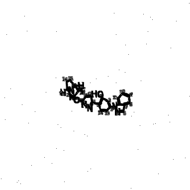 Oc1cc(-n2ncc3ccccc32)ccc1-c1ccc(O[C@H]2C[C@@H]3CC[C@@H](N3)[C@H]2F)nn1